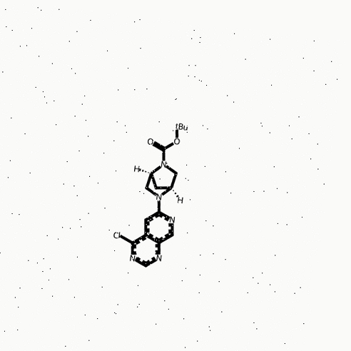 CC(C)(C)OC(=O)N1C[C@@H]2C[C@H]1CN2c1cc2c(Cl)ncnc2cn1